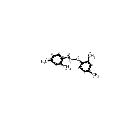 Cc1cc(C(F)(F)F)ccc1[O][Zr][O]c1ccc(C(F)(F)F)cc1C